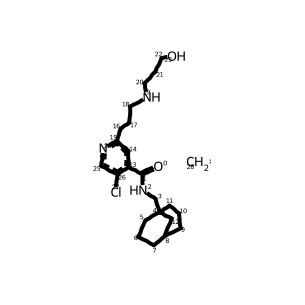 O=C(NCC12CCCC(CCC1)C2)c1cc(CCCNCCCO)ncc1Cl.[CH2]